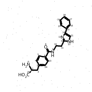 N[C@@H](Cc1ccc(C(=O)NCCc2nc(-c3ccccc3)c[nH]2)cc1)C(=O)O